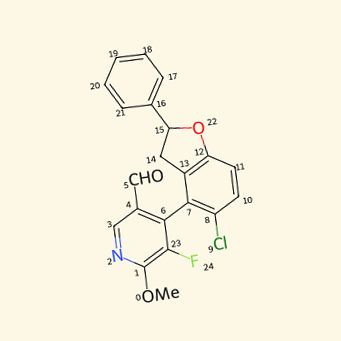 COc1ncc(C=O)c(-c2c(Cl)ccc3c2CC(c2ccccc2)O3)c1F